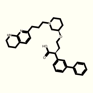 O=C(O)[C@@H](CCO[C@@H]1CCCN(CCCc2ccc3c(n2)NCCC3)C1)c1cccc(-c2ccccc2)c1